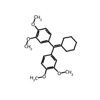 COc1ccc(C(=C2CCCCC2)c2ccc(OC)c(OC)c2)cc1OC